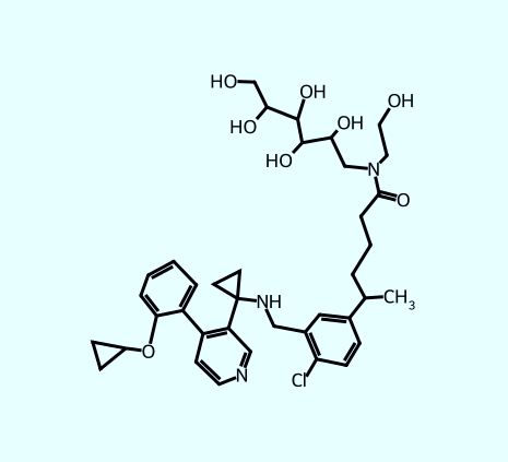 CC(CCCC(=O)N(CCO)CC(O)C(O)C(O)C(O)CO)c1ccc(Cl)c(CNC2(c3cnccc3-c3ccccc3OC3CC3)CC2)c1